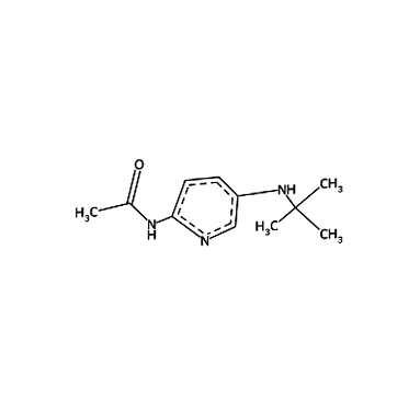 CC(=O)Nc1ccc(NC(C)(C)C)cn1